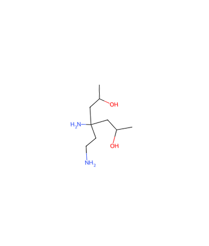 CC(O)CC(N)(CCN)CC(C)O